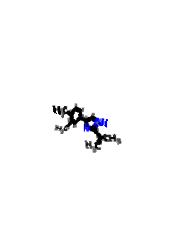 Cc1ccc(-c2c[nH]c(C(C)C)n2)cc1C